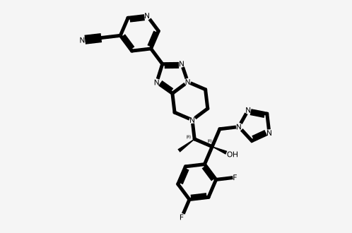 C[C@@H](N1CCn2nc(-c3cncc(C#N)c3)nc2C1)[C@](O)(Cn1cncn1)c1ccc(F)cc1F